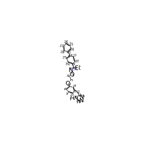 CC/C(=N\OCCOc1cccc(Cc2nnn[nH]2)c1)c1ccc(-c2ccccc2)cc1